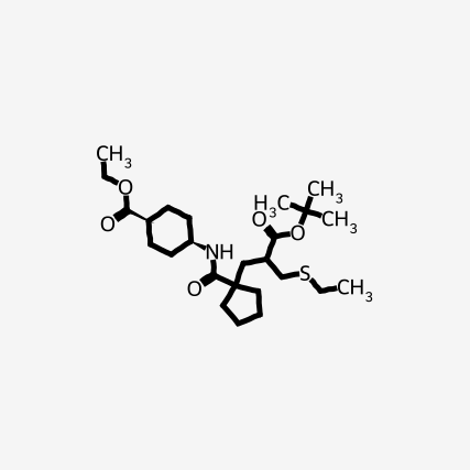 CCOC(=O)[C@H]1CC[C@@H](NC(=O)C2(CC(CSCC)C(=O)OC(C)(C)C)CCCC2)CC1